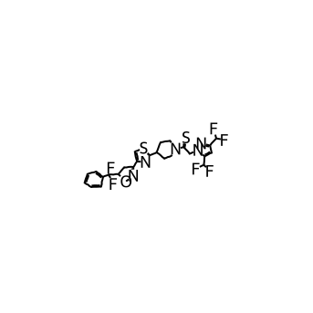 FC(F)c1cc(C(F)F)n(CC(=S)N2CCC(c3nc(C4=NOC(C(F)(F)c5ccccc5)C4)cs3)CC2)n1